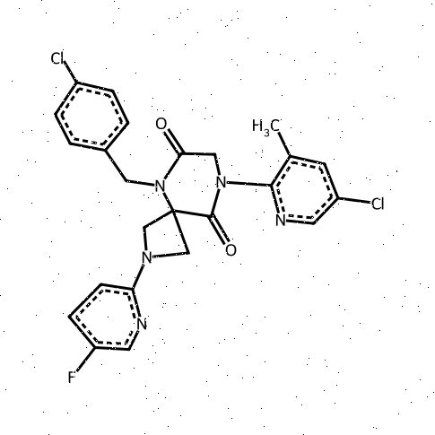 Cc1cc(Cl)cnc1N1CC(=O)N(Cc2ccc(Cl)cc2)C2(CN(c3ccc(F)cn3)C2)C1=O